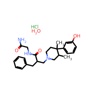 CC1CN(CC(Cc2ccccc2)C(=O)NCC(N)=O)CCC1(C)c1cccc(O)c1.Cl.O